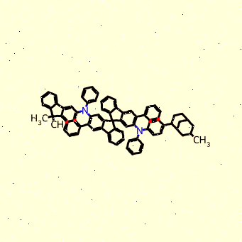 CC1CC2CCC(c3ccc(N(c4ccccc4)c4cc5c(cc4-c4ccccc4)-c4ccccc4C54c5ccccc5-c5cc(-c6ccccc6)c(N(c6ccccc6)c6ccc7c(c6)-c6ccccc6C7(C)C)cc54)cc3)C(C1)C2